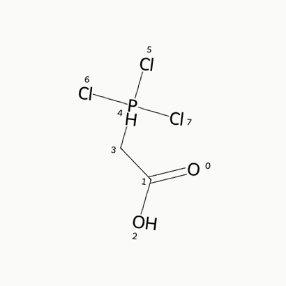 O=C(O)C[PH](Cl)(Cl)Cl